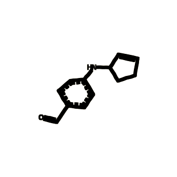 O=Cc1ccc(NC2C=CCC2)cc1